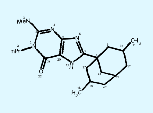 CCCn1c(NC)nc2nc(C34CC(C)CC(CC(C)C3)C4)[nH]c2c1=O